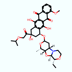 CC[C@H]1OCCN2[C@@H]1O[C@@H]1[C@H](C)OC(O[C@H]3C[C@](O)(C(=O)COC(C)C)Cc4c(O)c5c(c(O)c43)C(=O)c3c(OC)cccc3C5=O)C[C@@H]12